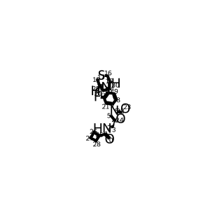 O=C(NC[C@H]1CN(c2ccc(N3[C@@H]4CC[C@H]3CSC4)c(F)c2)C(=O)O1)C1CCC1